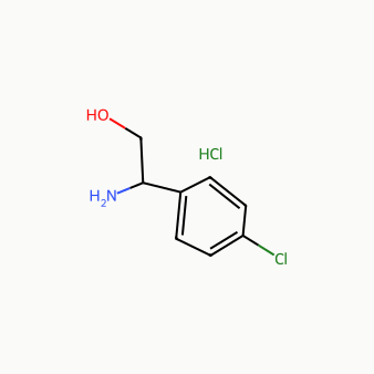 Cl.NC(CO)c1ccc(Cl)cc1